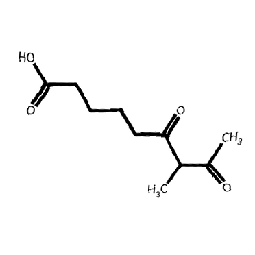 CC(=O)C(C)C(=O)CCCCC(=O)O